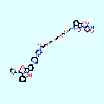 O=C1CCC(N2C(=O)c3cccc(NCCOCCOCCOCCOCCC(=O)N4CCN(C5CCN(c6ccc7c(c6)C(=O)N(C(C(=O)Nc6nccs6)c6cc(F)ccc6O)C7)CC5)CC4)c3C2=O)C(=O)N1